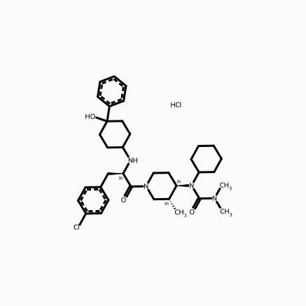 C[C@@H]1CN(C(=O)[C@@H](Cc2ccc(Cl)cc2)NC2CCC(O)(c3ccccc3)CC2)CC[C@H]1N(C(=O)N(C)C)C1CCCCC1.Cl